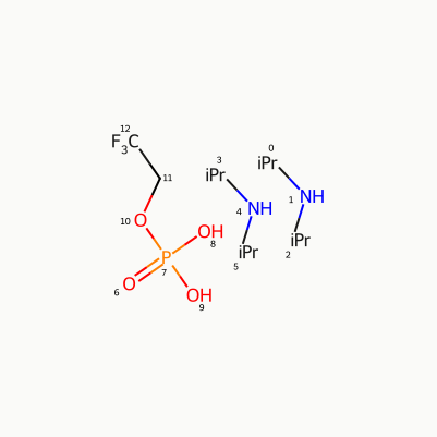 CC(C)NC(C)C.CC(C)NC(C)C.O=P(O)(O)OCC(F)(F)F